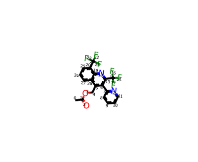 CC(=O)OCc1c(-c2ccccn2)c(C(F)(F)F)nc2c(C(F)(F)F)cccc12